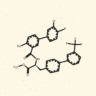 COC(=O)[C@H](Cc1ccc(-c2cccc(C(F)(F)F)c2)cc1)NC(=O)c1cc(-c2ccc(F)c(Cl)c2)ccc1O